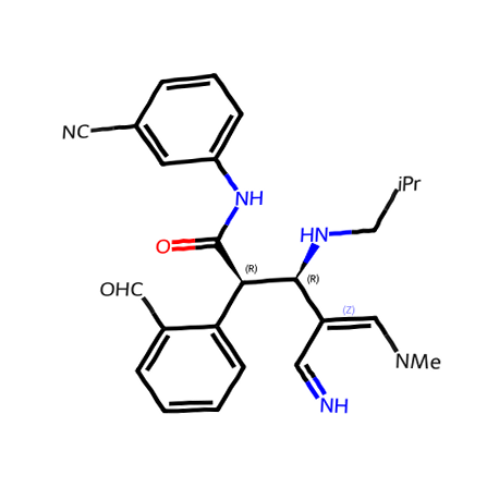 CN/C=C(\C=N)[C@H](NCC(C)C)[C@H](C(=O)Nc1cccc(C#N)c1)c1ccccc1C=O